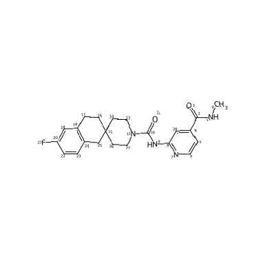 CNC(=O)c1ccnc(NC(=O)N2CCC3(CCc4cc(F)ccc4C3)CC2)c1